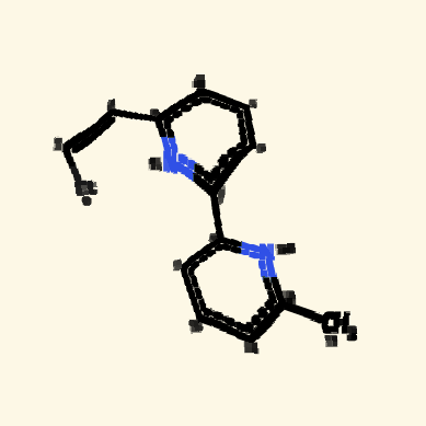 CC/C=C\c1cccc(-c2cccc(C)n2)n1